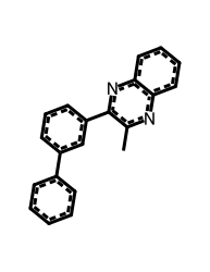 Cc1nc2ccccc2nc1-c1cccc(-c2ccccc2)c1